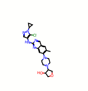 Cc1cc2cnc(Nc3cnn(C4CC4)c3Cl)nc2cc1N1CCN(C2COCC2O)CC1